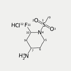 CS(=O)(=O)N1CCC(N)CC1F.Cl